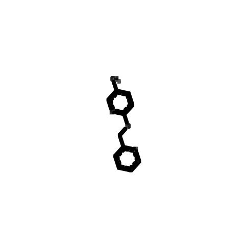 Cc1ccc(OCc2ccccn2)nc1